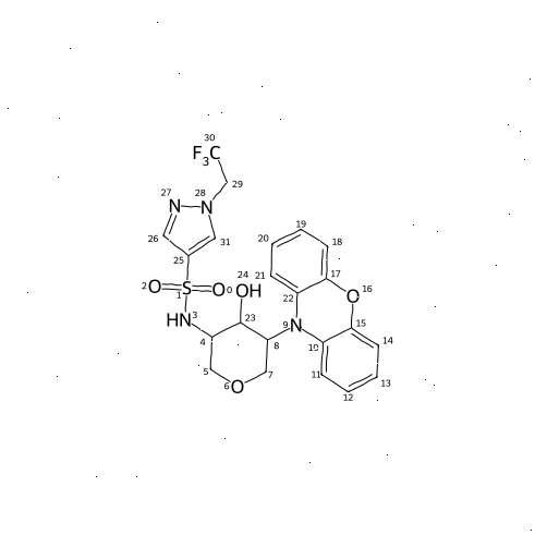 O=S(=O)(NC1COCC(N2c3ccccc3Oc3ccccc32)C1O)c1cnn(CC(F)(F)F)c1